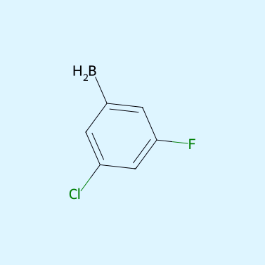 Bc1cc(F)cc(Cl)c1